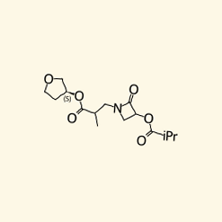 CC(C)C(=O)OC1CN(CC(C)C(=O)O[C@H]2CCOC2)C1=O